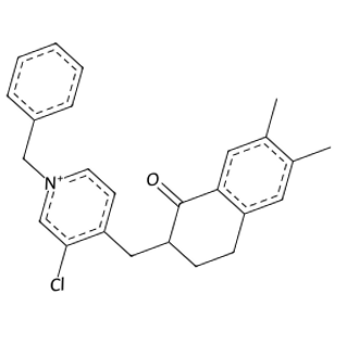 Cc1cc2c(cc1C)C(=O)C(Cc1cc[n+](Cc3ccccc3)cc1Cl)CC2